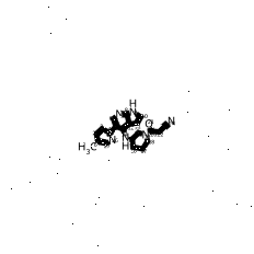 Cc1ccc(-c2cnc3[nH]ccc3c2N[C@@H]2CCCN(C(=O)CC#N)C2)nc1